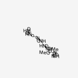 COc1cc(-c2cn(C)c(=O)c3[nH]ncc23)cc(OC)c1CNCC(=O)NCCCCNC(=O)CN1CCC(c2ccc(NC3CCC(=O)NC3=O)cc2)CC1